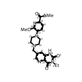 CCn1c(=O)[nH]c2cc(CN3CCN(c4ccc(C(=O)NC)nc4OC)CC3)cnc2c1=O